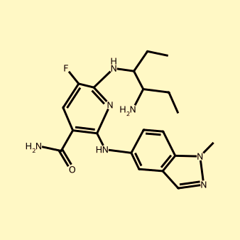 CCC(N)C(CC)Nc1nc(Nc2ccc3c(cnn3C)c2)c(C(N)=O)cc1F